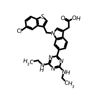 CCNc1nc(NCC)nc(-c2ccc3c(CC(=O)O)cn(Cc4csc5ccc(Cl)cc45)c3c2)n1